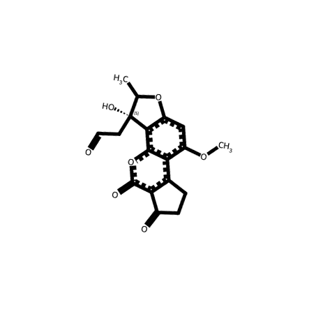 COc1cc2c(c3oc(=O)c4c(c13)CCC4=O)[C@@](O)(CC=O)C(C)O2